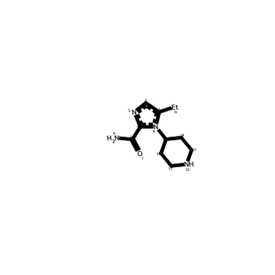 CCc1cnc(C(N)=O)n1C1CCNCC1